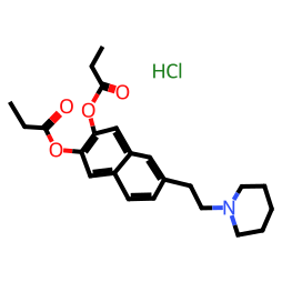 CCC(=O)Oc1cc2ccc(CCN3CCCCC3)cc2cc1OC(=O)CC.Cl